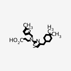 Cc1ccc(CN(CCC(=O)O)c2nc(CC3CCC(C)(C)CC3)cs2)s1